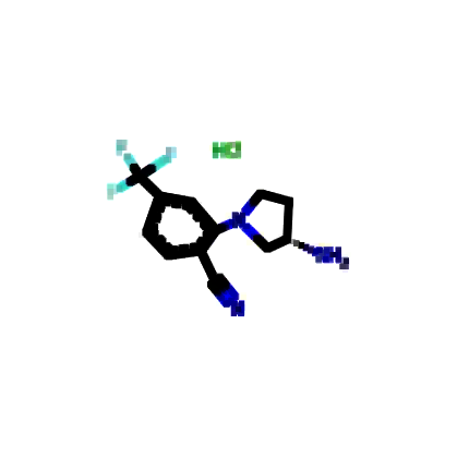 Cl.N#Cc1ccc(C(F)(F)F)cc1N1CC[C@H](N)C1